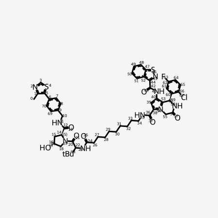 Cc1ncsc1-c1ccc(CNC(=O)[C@@H]2C[C@@H](O)CN2C(=O)C(NC(=O)CCCCCCCCCNC(=O)c2cc(NC(=O)c3nsc4ccccc34)c3n2CC(=O)N[C@@H]3c2cc(F)ccc2Cl)C(C)(C)C)cc1